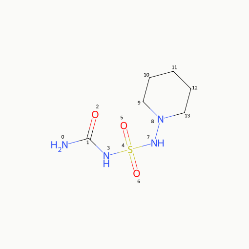 NC(=O)NS(=O)(=O)NN1CCCCC1